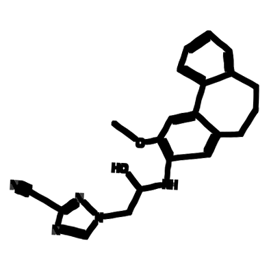 COc1cc2c(cc1NC(O)Cn1cnc(C#N)n1)CCCc1ccccc1-2